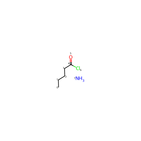 CCCCC(=O)Cl.N